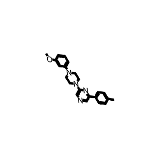 COc1cccc(N2CCN(c3cncc(-c4ccc(C)cc4)n3)CC2)c1